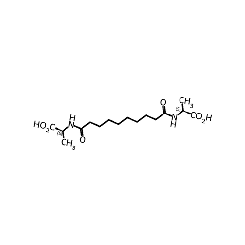 C[C@H](NC(=O)CCCCCCCCC(=O)N[C@@H](C)C(=O)O)C(=O)O